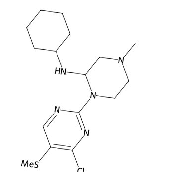 CSc1cnc(N2CCN(C)CC2NC2CCCCC2)nc1Cl